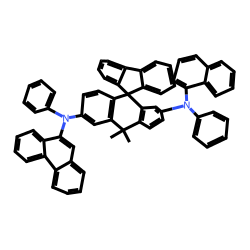 CC1(C)c2cc(N(c3ccccc3)c3cc4ccccc4c4ccccc34)ccc2C2(c3ccccc3-c3ccccc32)c2cc(N(c3ccccc3)c3cccc4ccccc34)ccc21